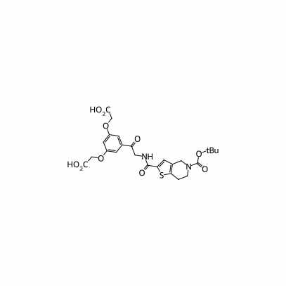 CC(C)(C)OC(=O)N1CCc2sc(C(=O)NCC(=O)c3cc(OCC(=O)O)cc(OCC(=O)O)c3)cc2C1